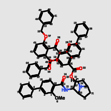 COc1cc(-c2ccccc2)ccc1C(=O)NC1C(OC(=O)c2cc(OCc3ccccc3)c(C(=O)c3c(OCc4ccccc4)cccc3C(=O)OCc3ccccc3)c(OCc3ccccc3)c2)CC2CCC1N2C